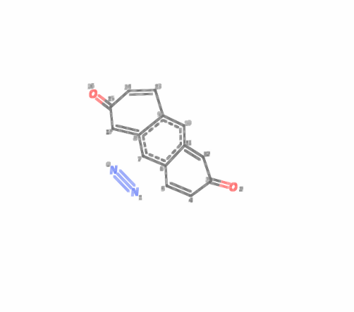 N#N.O=C1C=Cc2cc3c(cc2=C1)C=CC(=O)C=3